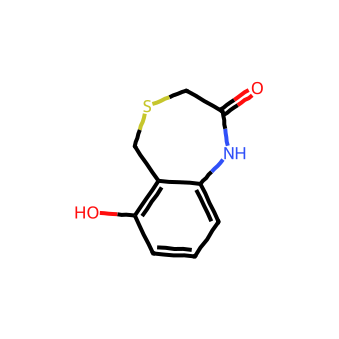 O=C1CSCc2c(O)cccc2N1